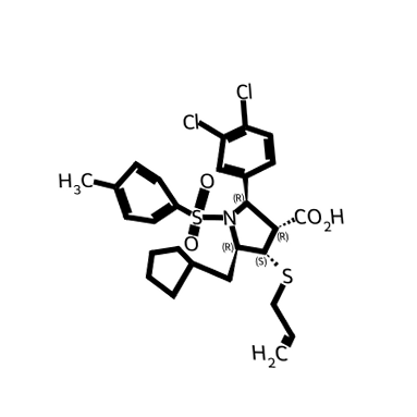 C=CCS[C@H]1[C@@H](C(=O)O)[C@H](c2ccc(Cl)c(Cl)c2)N(S(=O)(=O)c2ccc(C)cc2)[C@@H]1CC1CCCC1